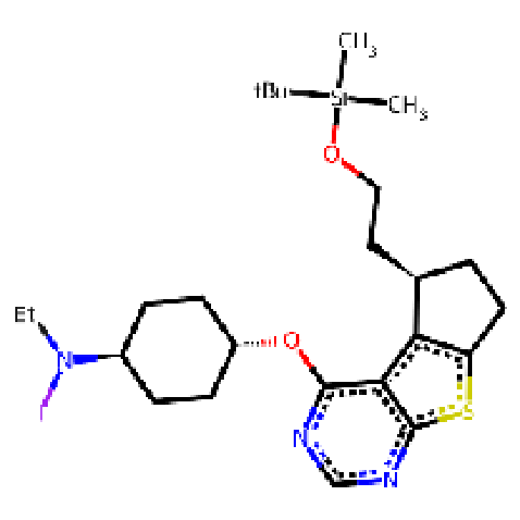 CCN(I)[C@H]1CC[C@H](Oc2ncnc3sc4c(c23)[C@@H](CCO[Si](C)(C)C(C)(C)C)CC4)CC1